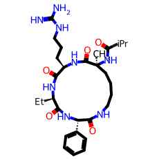 CC[C@H]1NC(=O)[C@@H](CCCNC(=N)N)NC(=O)[C@@](C)(NC(=O)C(C)C)CCCCNC(=O)[C@H](c2ccccc2)NC1=O